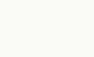 [B].c1ccc2c(c1)sc1ccccc12